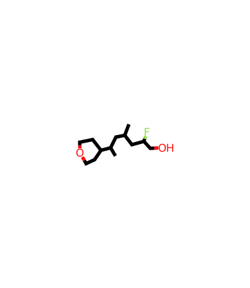 CC(CC(F)CO)CC(C)C1CCOCC1